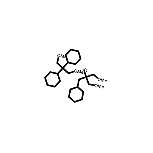 COCC(COC)(C1CCCCC1)C1CCCCC1.COCC(COC)(CC1CCCCC1)C(C)C